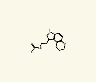 CCC(=O)NCCC1CNc2ccc3c(c21)CCCO3